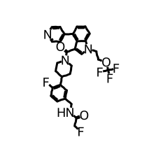 O=C(CF)NCc1ccc(F)c(C2CCN(C(=O)c3cn(CCOC(F)(F)F)c4cccc(-c5ccncc5)c34)CC2)c1